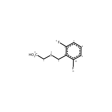 O=C(O)CSCc1c(F)cccc1F